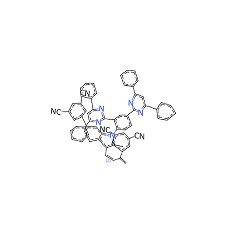 C=C(/C=C\c1c(C)n(-c2ccc(-c3nc(-c4ccccc4)cc(-c4ccccc4)n3)cc2-c2nc(-c3ccccc3)cc(-c3ccccc3)n2)c2cc(-c3cc(C#N)cc(C#N)c3)ccc12)c1cc(C#N)cc(C#N)c1